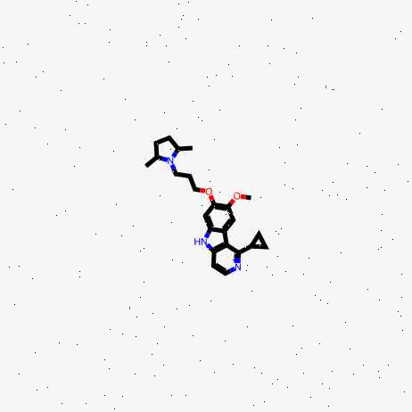 COc1cc2c(cc1OCCCN1C(C)CCC1C)[nH]c1ccnc(C3CC3)c12